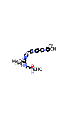 COc1nc(N2CCN(CC3CCN(c4ccc(C5CCN(c6ccc(C#N)c(C(F)(F)F)c6)CC5)cc4)CC3)CC2)cc(CNC(C)CCC(=O)NC=O)c1C=O